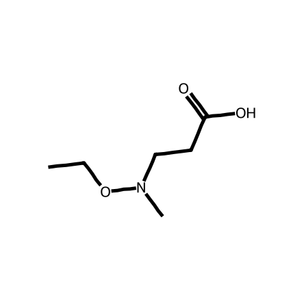 CCON(C)CCC(=O)O